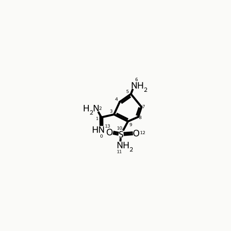 N=C(N)c1cc(N)ccc1S(N)(=O)=O